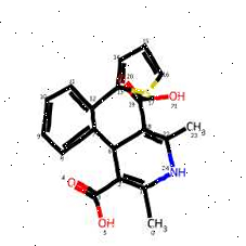 CC1=C(C(=O)O)C(c2ccccc2-c2cccs2)C(C(=O)O)=C(C)N1